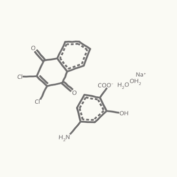 Nc1ccc(C(=O)[O-])c(O)c1.O.O.O=C1C(Cl)=C(Cl)C(=O)c2ccccc21.[Na+]